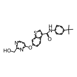 CC(C)(C)c1ccc(NC(=O)c2csc3cc(Oc4ccnc(CO)n4)ccc23)cc1